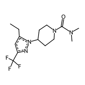 CCc1cc(C(F)(F)F)nn1C1CCN(C(=O)N(C)C)CC1